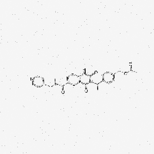 CC(=O)OCc1ccc(C(C)n2c(=O)[nH]c3ccc(C(=O)NCc4ccncc4)cc3c2=O)cc1